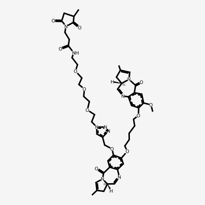 COc1cc2c(cc1OCCCCCOc1cc3c(cc1OCc1cn(CCOCCOCCOCCNC(=O)CCN4C(=O)CC(C)C4=O)nn1)C(=O)N1C=C(C)C[C@H]1C=N3)N=C[C@@H]1CC(C)=CN1C2=O